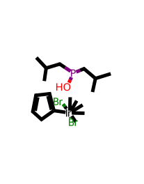 CC(C)CP(O)CC(C)C.[CH3][Ir]([CH3])([CH3])([CH3])([CH3])([Br])([Br])[C]1=CC=CC1